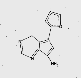 NC1=CS(c2ccco2)=C2CN=CN=C12